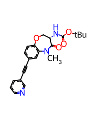 CN1C(=O)[C@@H](NC(=O)OC(C)(C)C)COc2ccc(C#Cc3cccnc3)cc21